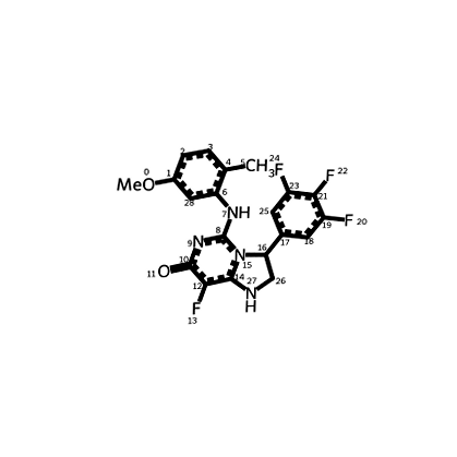 COc1ccc(C)c(Nc2nc(=O)c(F)c3n2C(c2cc(F)c(F)c(F)c2)CN3)c1